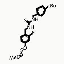 COOSOc1ccc(CNC(=S)NCc2ccc(C(C)(C)C)cc2)c(F)c1